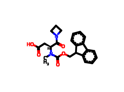 CN(C(=O)OCC1c2ccccc2-c2ccccc21)[C@@H](CC(=O)O)C(=O)N1CCC1